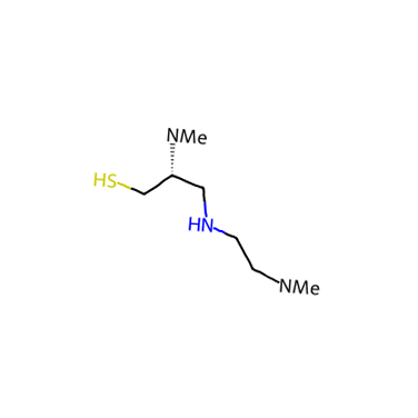 CNCCNC[C@H](CS)NC